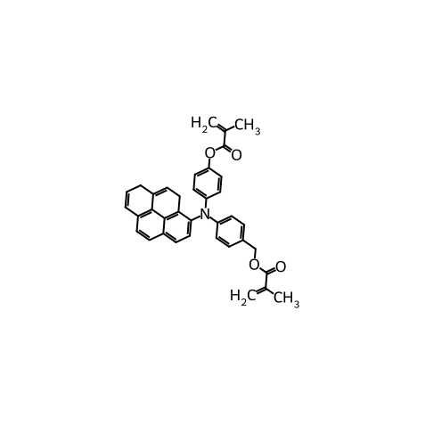 C=C(C)C(=O)OCc1ccc(N(c2ccc(OC(=O)C(=C)C)cc2)c2ccc3ccc4c5c3c2CC=C5CC=C4)cc1